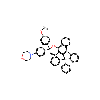 COc1ccc(C2(c3ccc(N4CCOCC4)cc3)C=Cc3c4c(c5ccccc5c3O2)-c2ccccc2C4(c2ccccc2)c2ccccc2)cc1